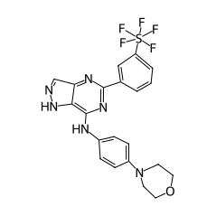 FS(F)(F)(F)(F)c1cccc(-c2nc(Nc3ccc(N4CCOCC4)cc3)c3[nH]ncc3n2)c1